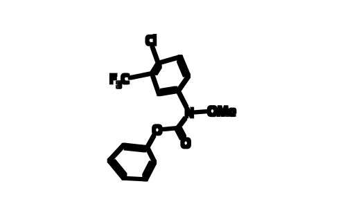 CON(C(=O)Oc1ccccc1)c1ccc(Cl)c(C(F)(F)F)c1